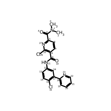 CN(C)C(=O)c1ccc(C(=O)Nc2ccc(Cl)c(-c3ccccn3)c2)c(Cl)n1